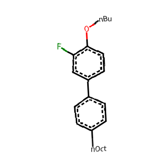 CCCCCCCCc1ccc(-c2ccc(OCCCC)c(F)c2)cc1